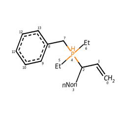 C=CC(CCCCCCCCC)[PH](CC)(CC)Cc1ccccc1